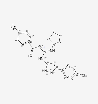 O=C(/N=C(/NC1CCCC1)NC1CC(c2ccc(Cl)cc2)NN1)c1ccc(C(F)(F)F)cc1